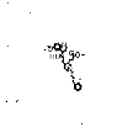 COc1ccc2nccc([C@@H](O)CCC3CCN(CCCCc4ccccc4F)CC3CCC(=O)O)c2c1